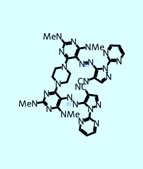 [C-]#[N+]c1cnn(-c2ncccn2)c1/N=N/c1c(NC)nc(NC)nc1N1CCN(c2nc(NC)nc(NC)c2/N=N/c2c(C#N)cnn2-c2ncccn2)CC1